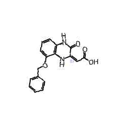 O=C(O)/C=C1/Nc2c(cccc2OCc2ccccc2)NC1=O